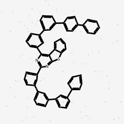 c1ccc(-c2ccc(-c3cccc(-c4cccc(-c5nc(-c6cccc(-c7cccc(-c8cccc(-c9ccccc9)c8)c7)c6)nc6sc7ccccc7c56)c4)c3)cc2)cc1